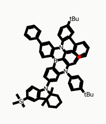 Cc1cc2c3c(c1)N(c1ccc(C(C)(C)C)cc1-c1ccccc1)c1cc(-c4ccccc4)ccc1B3c1ccc(N3c4ccc([Si](C)(C)C)cc4C4(C)CCCCC34C)cc1N2c1ccc(C(C)(C)C)cc1